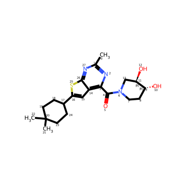 Cc1nc(C(=O)N2CC[C@@H](O)[C@H](O)C2)c2cc(C3CCC(C)(C)CC3)sc2n1